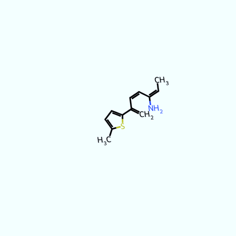 C=C(/C=C\C(N)=C/C)c1ccc(C)s1